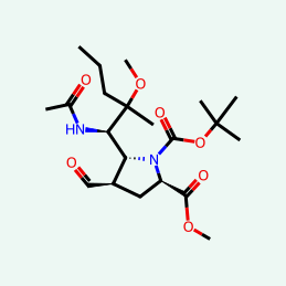 CCCC(C)(OC)[C@H](NC(C)=O)[C@H]1[C@H](C=O)C[C@H](C(=O)OC)N1C(=O)OC(C)(C)C